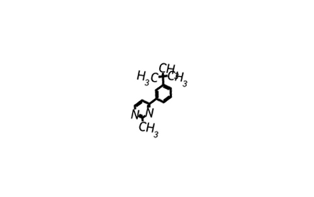 Cc1nccc(-c2cccc(C(C)(C)C)c2)n1